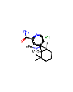 CCCN1C[C@H]2CCC[C@@H](C1)C2(OC)c1ccnc(C(N)=O)c1.Cl